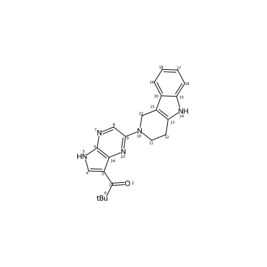 CC(C)(C)C(=O)c1c[nH]c2ncc(N3CCc4[nH]c5ccccc5c4C3)nc12